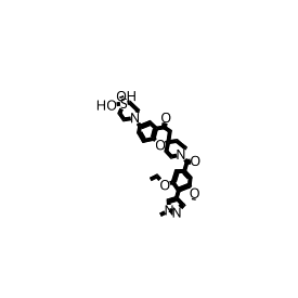 CCOc1cc(C(=O)N2CCC3(CC2)CC(=O)c2cc(N4CCS(O)(O)CC4)ccc2O3)cc(OC)c1-c1cnn(C)c1